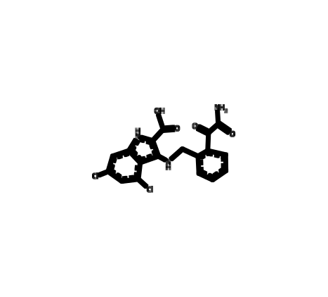 NC(=O)C(=O)c1ccccc1CNc1c(C(=O)O)[nH]c2cc(Cl)cc(Cl)c12